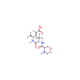 C/C(=C\[C@H](C(C)C)N(C)C(=O)[C@@H](NC(=O)C1COCCN1C)C(C)(C)C)C(=O)O